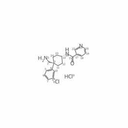 Cl.NC[C@]1(c2cccc(Cl)c2)CC[C@@H](NC(=O)c2cccnc2)CC1